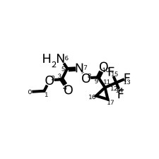 CCOC(=O)/C(N)=N\OC(=O)C1(C(F)(F)F)CC1